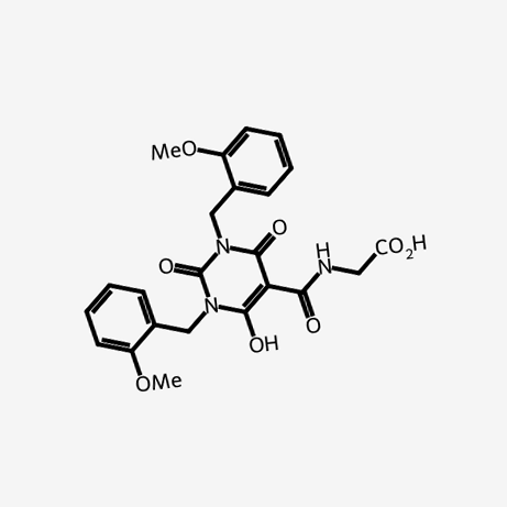 COc1ccccc1Cn1c(O)c(C(=O)NCC(=O)O)c(=O)n(Cc2ccccc2OC)c1=O